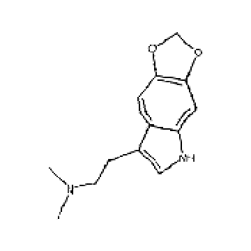 CN(C)CCc1c[nH]c2cc3c(cc12)OCO3